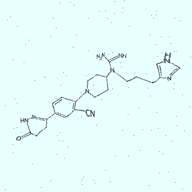 N#Cc1cc(C2=NNC(=O)CC2)ccc1N1CCC(N(CCCc2c[nH]cn2)C(=N)N)CC1